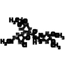 CCS(=O)(=O)c1ccc(C(Oc2ccc(/C=N/C)cc2Cl)C(=O)Nc2nc3cc(OC)c(OC)cc3s2)cc1